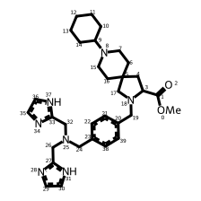 COC(=O)C1CC2(CCN(C3CCCCC3)CC2)CN1Cc1ccc(CN(Cc2ncc[nH]2)Cc2ncc[nH]2)cc1